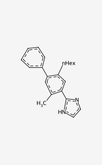 CCCCCCc1cc(-c2ncc[nH]2)c(C)cc1-c1ccccc1